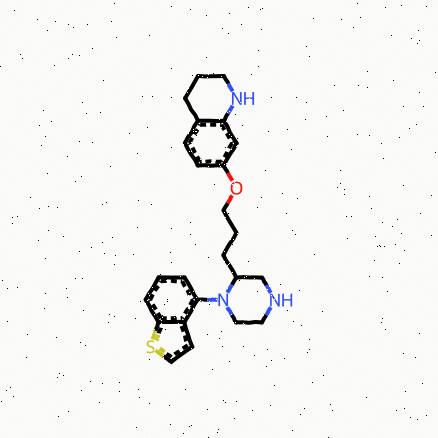 c1cc(N2CCNCC2CCCOc2ccc3c(c2)NCCC3)c2ccsc2c1